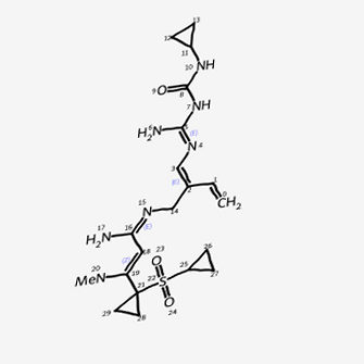 C=C/C(=C\N=C(/N)NC(=O)NC1CC1)C/N=C(N)\C=C(/NC)C1(S(=O)(=O)C2CC2)CC1